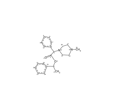 CC(OC(=O)C(c1ccccc1)N1CCN(C)CC1)c1ccccc1